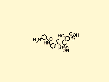 Nc1cccc(C(=O)Nc2cccc(C(=O)Nc3cc4c(O)cc(S(=O)(=O)O)cc4cc3S(=O)(=O)O)c2)c1